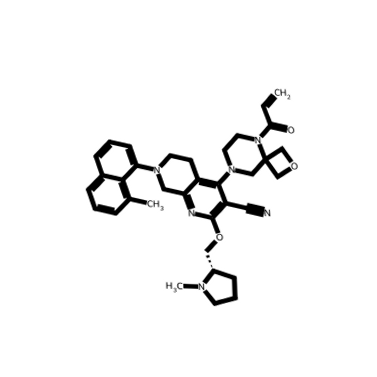 C=CC(=O)N1CCN(c2c(C#N)c(OC[C@@H]3CCCN3C)nc3c2CCN(c2cccc4cccc(C)c24)C3)CC12COC2